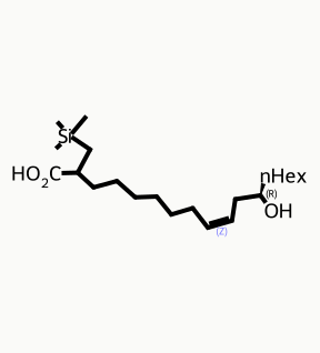 CCCCCC[C@@H](O)C/C=C\CCCCCCC(C[Si](C)(C)C)C(=O)O